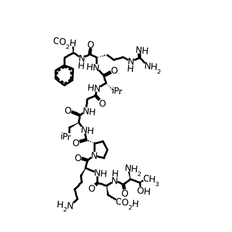 CC(C)C[C@H](NC(=O)[C@@H]1CCCN1C(=O)[C@H](CCCCN)NC(=O)[C@H](CC(=O)O)NC(=O)[C@@H](N)[C@@H](C)O)C(=O)NCC(=O)N[C@H](C(=O)N[C@@H](CCCNC(=N)N)C(=O)N[C@@H](Cc1ccccc1)C(=O)O)C(C)C